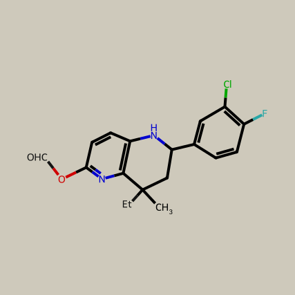 CCC1(C)CC(c2ccc(F)c(Cl)c2)Nc2ccc(OC=O)nc21